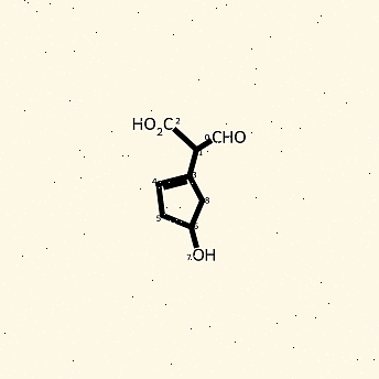 O=CC(C(=O)O)C1=CCC(O)C1